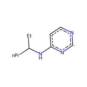 CCCC(CC)Nc1ccn[c]n1